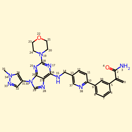 C=C(C(N)=O)c1cccc(-c2ccc(CNc3nc(N4CCOCC4)nc4c3ncn4-c3cnn(C)c3)cn2)c1